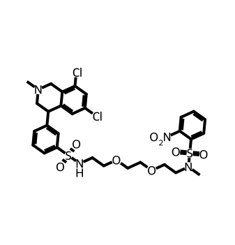 CN1Cc2c(Cl)cc(Cl)cc2C(c2cccc(S(=O)(=O)NCCOCCOCCN(C)S(=O)(=O)c3ccccc3[N+](=O)[O-])c2)C1